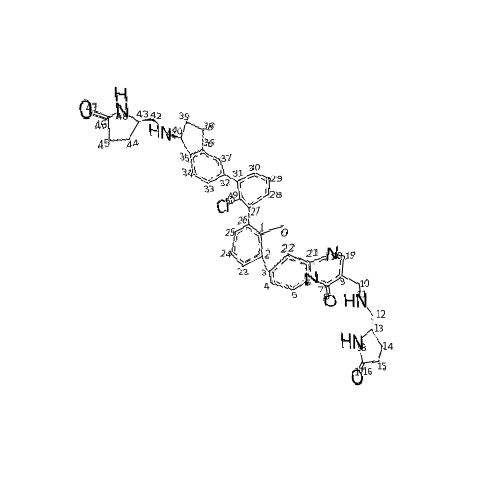 Cc1c(-c2ccn3c(=O)c(CNC[C@@H]4CCC(=O)N4)cnc3c2)cccc1-c1cccc(-c2ccc3c(c2)CC[C@@H]3NC[C@H]2CCC(=O)N2)c1Cl